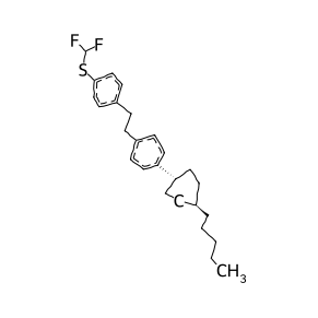 CCCCC[C@H]1CC[C@H](c2ccc(CCc3ccc(SC(F)F)cc3)cc2)CC1